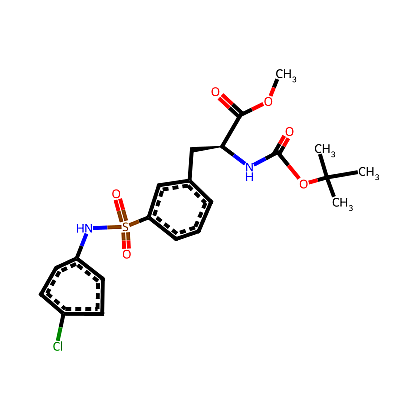 COC(=O)[C@H](Cc1cccc(S(=O)(=O)Nc2ccc(Cl)cc2)c1)NC(=O)OC(C)(C)C